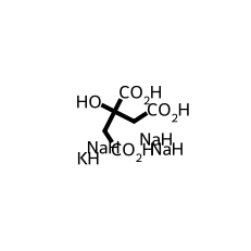 O=C(O)CC(O)(CC(=O)O)C(=O)O.[KH].[NaH].[NaH].[NaH]